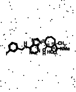 CNC(=O)[C@]1(C)CCC[C@@H](n2cnc3c(NCc4cccc(I)c4)ncnc32)[C@H](O)[C@@H]1O